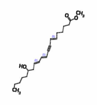 CCCCCC(O)C/C=C/C=C/C#C/C=C/CCCCC(=O)OC